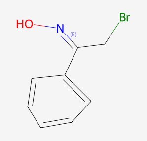 O/N=C(/CBr)c1ccccc1